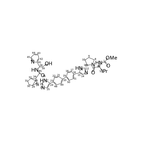 COC(=O)N[C@H](C(=O)N1CCC[C@H]1c1ncc(-c2ccc(-c3ccc(-c4cnc([C@@H]5C6CCC(C6)C5C(=O)NC(CO)c5ccccn5)[nH]4)cc3)cc2)[nH]1)C(C)C